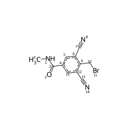 CNC(=O)c1cc(C#N)c(CBr)c(C#N)c1